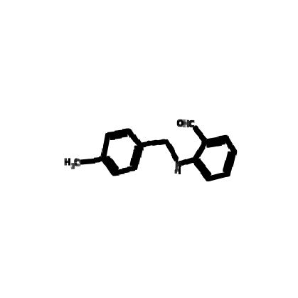 Cc1ccc(CNc2ccccc2C=O)cc1